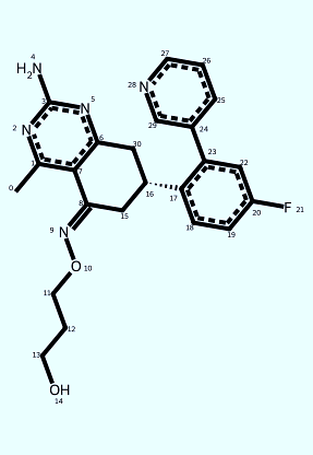 Cc1nc(N)nc2c1/C(=N/OCCCO)C[C@@H](c1ccc(F)cc1-c1cccnc1)C2